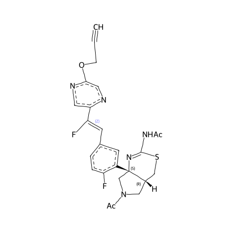 C#CCOc1cnc(/C(F)=C/c2ccc(F)c([C@]34CN(C(C)=O)C[C@H]3CSC(NC(C)=O)=N4)c2)cn1